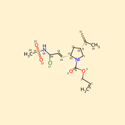 C=CCOC(=O)N1C[C@@H](C(C)=S)C[C@H]1C=CC(Cl)NS(C)(=O)=O